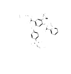 CCS(=O)(=O)c1ccc(Oc2cc(NC(=O)c3ccccn3)c([N+](=O)[O-])cc2C(=O)OC)cc1